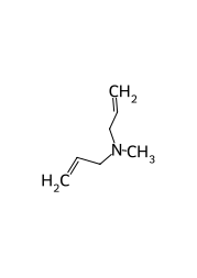 C=CCN(C)CC=C